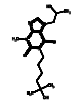 CC(O)Cn1cnc2c1c(=O)n(CCCCC(C)(C)O)c(=O)n2C